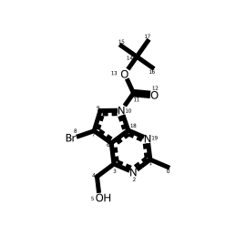 Cc1nc(CO)c2c(Br)cn(C(=O)OC(C)(C)C)c2n1